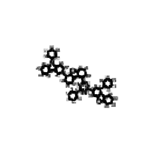 c1ccc(-c2nc(-c3cc(-c4ccccc4)c4c(c3)oc3ccccc34)nc(-c3cccc4oc5c(-c6ccc7c(c6)c6ccccc6n7-c6ccccc6)cccc5c34)n2)cc1